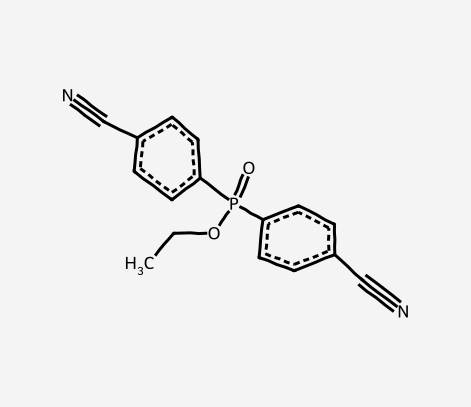 CCOP(=O)(c1ccc(C#N)cc1)c1ccc(C#N)cc1